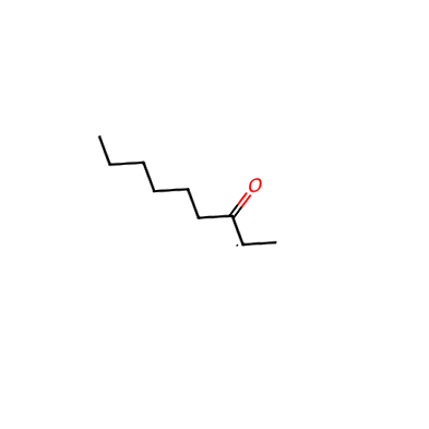 C[CH]C(=O)CCCCCC